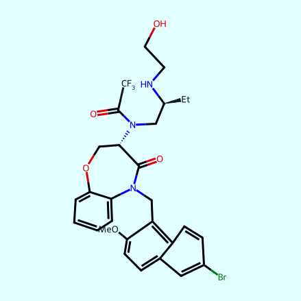 CC[C@@H](CN(C(=O)C(F)(F)F)[C@H]1COc2ccccc2N(Cc2c(OC)ccc3cc(Br)ccc23)C1=O)NCCO